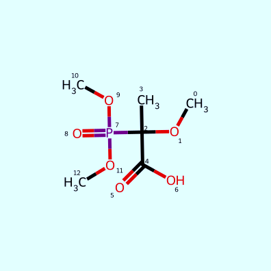 COC(C)(C(=O)O)P(=O)(OC)OC